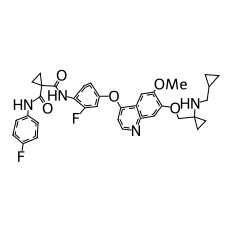 COc1cc2c(Oc3ccc(NC(=O)C4(C(=O)Nc5ccc(F)cc5)CC4)c(F)c3)ccnc2cc1OCC1(NCC2CC2)CC1